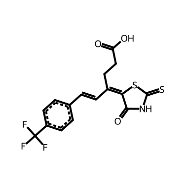 O=C(O)CCC(/C=C/c1ccc(C(F)(F)F)cc1)=C1\SC(=S)NC1=O